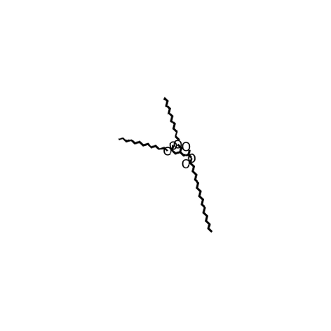 CCCCCCCCCCCCCCCCCC(=O)OC(C)CC(CC(=O)OCCCCCCCCCCCC)C(=O)OCCCCCCCCCCCC